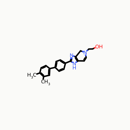 Cc1ccc(-c2ccc(-c3nc4c([nH]3)C=CN(CCO)C4)cc2)cc1C